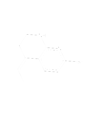 C/C=C1/CCNc2nc(Br)ccc21